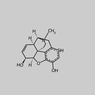 CN1CC[C@]23c4c5[siH]cc(O)c4O[C@H]2[C@@H](O)C=C[C@H]3[C@H]1C5